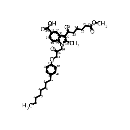 CCCCCCCCc1ccc(OCC(=O)Cn2c(C)c(C(=O)CCCCC(=O)OC)c3cc(C(=O)O)ccc32)cc1